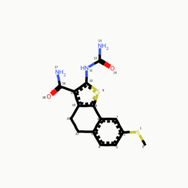 CSc1ccc2c(c1)-c1sc(NC(N)=O)c(C(N)=O)c1CC2